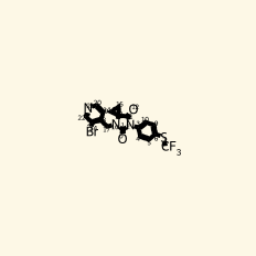 O=C1N(c2ccc(SC(F)(F)F)cc2)C(=O)C2(CC2)N1Cc1ccncc1Br